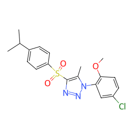 COc1ccc(Cl)cc1-n1nnc(S(=O)(=O)c2ccc(C(C)C)cc2)c1C